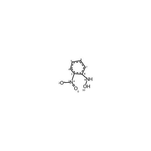 O=[N+]([O-])c1ccccc1NO